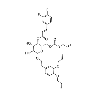 C=CCOC(=O)OC[C@@H]1O[C@H](OCCc2ccc(OCC=C)c(OCC=C)c2)[C@@H](O)[C@H](O)[C@H]1OC(=O)/C=C/c1ccc(F)c(F)c1